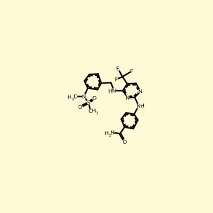 CN(c1cccc(CNc2nc(Nc3ccc(C(N)=O)cc3)ncc2C(F)(F)F)c1)S(C)(=O)=O